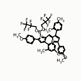 COc1ccc(C2=N/C(=C\c3c(-c4ccc(C)cc4C)cc(-c4ccc(OC)cc4)n3B(OCC(F)(F)C(F)(F)F)OCC(F)(F)C(F)(F)F)C(c3ccc(C)cc3C)=C2)cc1